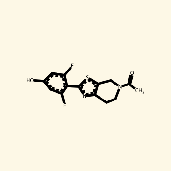 CC(=O)N1CCc2nc(-c3c(F)cc(O)cc3F)sc2C1